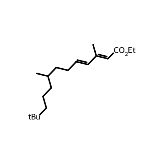 CCOC(=O)/C=C(C)/C=C/CCC(C)CCCC(C)(C)C